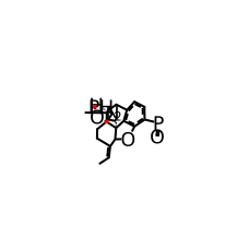 CC=C1CC[C@@]2(OP)[C@H]3Cc4ccc(P=O)c5c4[C@@]2(CCN3C)C1O5